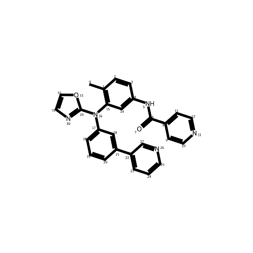 Cc1ccc(NC(=O)c2ccncc2)cc1N(c1cccc(-c2cccnc2)c1)c1ncco1